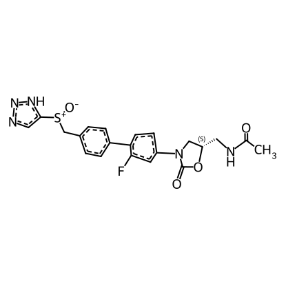 CC(=O)NC[C@H]1CN(c2ccc(-c3ccc(C[S+]([O-])c4cnn[nH]4)cc3)c(F)c2)C(=O)O1